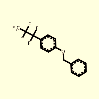 FC(F)(F)C(F)(F)C(F)(F)c1ccc(OCc2ccccc2)cc1